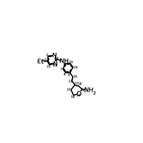 CCc1cnc(Nc2ccc(CCC3CCO[C@H](N)C3)cc2)nc1